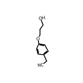 N#CCc1ccc(OCCCO)cc1